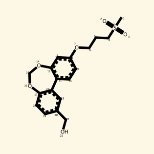 CS(=O)(=O)CCCOc1ccc2c(c1)OCOc1ccc(CO)cc1-2